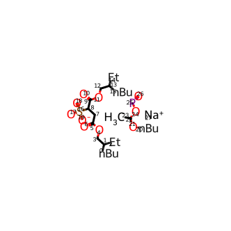 CCCCC(CC)COC(=O)CC(C(=O)OCC(CC)CCCC)S(=O)(=O)[O-].CCCCOC(C)OP=O.[Na+]